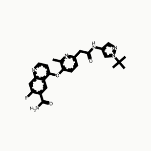 Cc1nc(CC(=O)Nc2cnn(C(C)(C)C)c2)ccc1Oc1ccnc2cc(F)c(C(N)=O)cc12